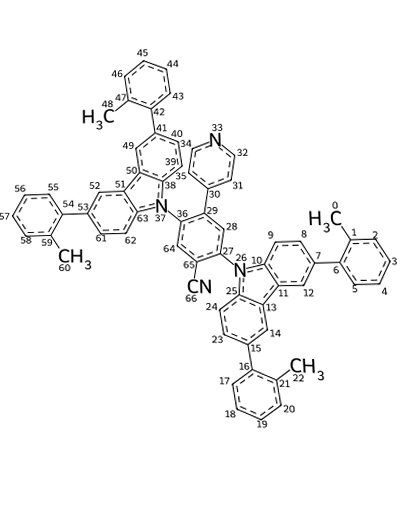 Cc1ccccc1-c1ccc2c(c1)c1cc(-c3ccccc3C)ccc1n2-c1cc(-c2ccncc2)c(-n2c3ccc(-c4ccccc4C)cc3c3cc(-c4ccccc4C)ccc32)cc1C#N